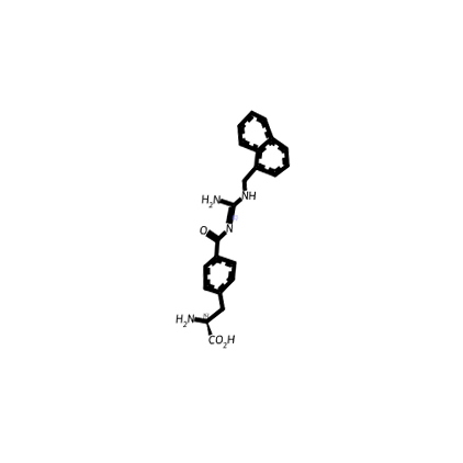 N/C(=N\C(=O)c1ccc(C[C@H](N)C(=O)O)cc1)NCc1cccc2ccccc12